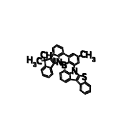 Cc1cc2c3c(c1)-n1c4sc5ccccc5c4c4cccc(c41)B3n1c3c(c4cccc-2c41)C(C)(C)c1ccccc1-3